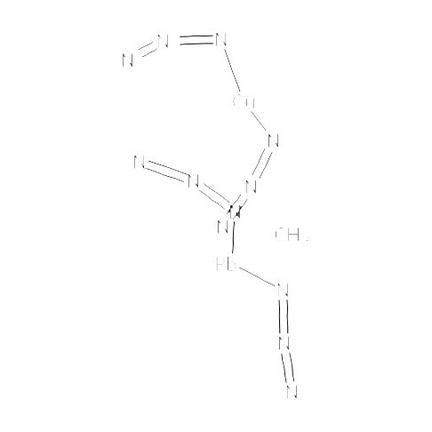 C.[N-]=[N+]=[N][Cu][N]=[N+]=[N-].[N-]=[N+]=[N][Pb][N]=[N+]=[N-]